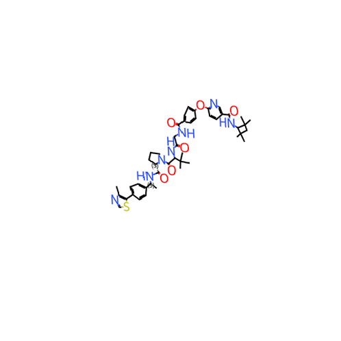 Cc1ncsc1-c1ccc([C@H](C)NC(=O)[C@@H]2CCCN2C(=O)C(NC(=O)CNC(=O)c2ccc(Oc3ccc(C(=O)NC4C(C)(C)CC4(C)C)cn3)cc2)C(C)(C)C)cc1